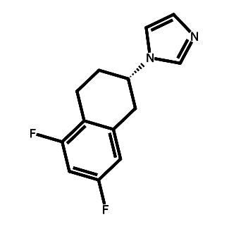 Fc1cc(F)c2c(c1)C[C@@H](n1ccnc1)CC2